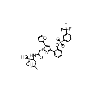 CC(C)CC(NC(=O)Cn1nc(-c2ccccc2OS(=O)(=O)c2cccc(C(F)(F)F)c2)cc1-c1ccco1)B(O)O